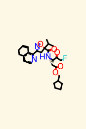 CC(C)C1(C(=O)N[C@@H](CC(=O)OCC2CCCC2)C(=O)CF)CC(c2nccc3c2C=CCC3)=NO1